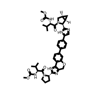 COC(=O)N[C@H](C(=O)N1C[C@H]2C[C@H]2[C@H]1c1ncc(-c2ccc(-c3ccc4c(c3)OCc3nc([C@@H]5CCCN5C(=O)[C@@H](NC(=O)OC)C(C)C)[nH]c3-4)cc2)[nH]1)C(C)C